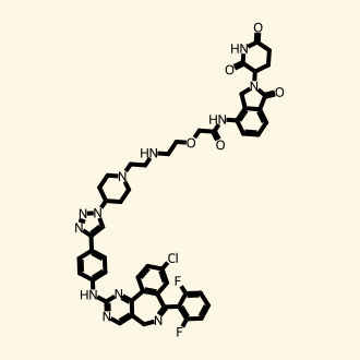 O=C1CCC(N2Cc3c(NC(=O)COCCNCCN4CCC(n5cc(-c6ccc(Nc7ncc8c(n7)-c7ccc(Cl)cc7C(c7c(F)cccc7F)=NC8)cc6)nn5)CC4)cccc3C2=O)C(=O)N1